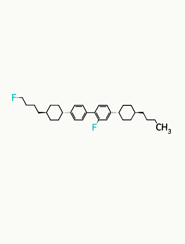 CCCC[C@H]1CC[C@H](c2ccc(-c3ccc([C@H]4CC[C@H](CCCCF)CC4)cc3)c(F)c2)CC1